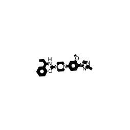 CCC(NC(=O)N1CCN(c2ccc(-n3cnc(C)n3)c(OC)c2)CC1)c1ccccc1